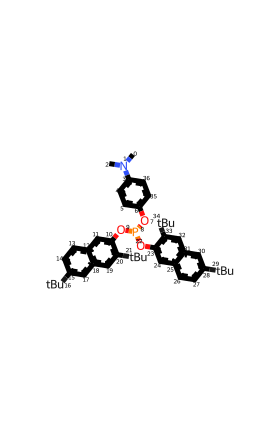 CN(C)c1ccc(OP(Oc2cc3ccc(C(C)(C)C)cc3cc2C(C)(C)C)Oc2cc3ccc(C(C)(C)C)cc3cc2C(C)(C)C)cc1